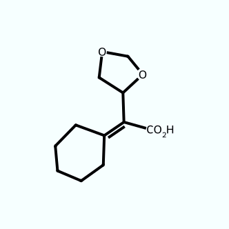 O=C(O)C(=C1CCCCC1)C1COCO1